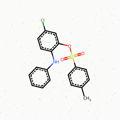 Cc1ccc(S(=O)(=O)Oc2cc(Cl)ccc2Nc2ccccc2)cc1